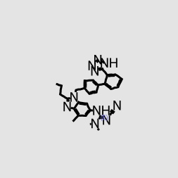 CCCc1nc2c(C)cc(N/C(=N\C#N)N(C)C)cc2n1Cc1ccc(-c2ccccc2-c2nnn[nH]2)cc1